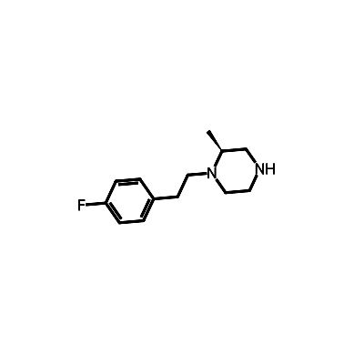 C[C@H]1CNCCN1CCc1ccc(F)cc1